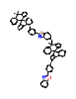 CC1(C)c2ccccc2C2(c3ccccc3-c3c(-c4cccc(-c5nc6cc(CC7(C)c8ccccc8C8(c9ccccc9-c9cc(-c%10ccc(-c%11nc%12ccccc%12o%11)cc%10)ccc98)c8ccccc87)ccc6s5)c4)cccc32)c2ccccc21